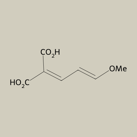 COC=CC=C(C(=O)O)C(=O)O